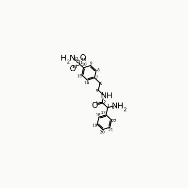 NC(C(=O)NCCc1ccc(S(N)(=O)=O)cc1)c1ccccc1